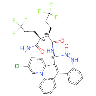 NC(=O)[C@@H](CCC(F)(F)F)[C@@H](CCC(F)(F)F)C(=O)N[C@@H]1C(c2ccc(Cl)cn2)=C(c2ccccc2)c2ccccc2N[N+]1=O